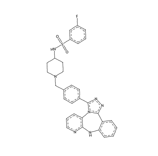 O=S(=O)(NC1CCN(Cc2ccc(-c3nnc4n3-c3cccnc3Nc3ccccc3-4)cc2)CC1)c1cccc(F)c1